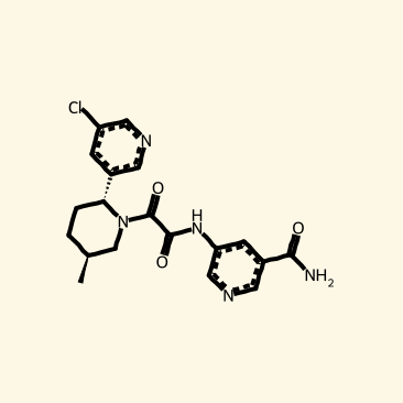 C[C@H]1CC[C@H](c2cncc(Cl)c2)N(C(=O)C(=O)Nc2cncc(C(N)=O)c2)C1